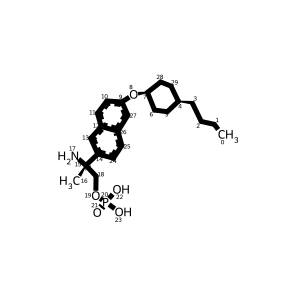 CCCC[C@H]1CC[C@@H](Oc2ccc3cc([C@@](C)(N)COP(=O)(O)O)ccc3c2)CC1